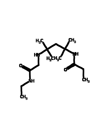 CCNC(=O)CNC(C)(C)CC(C)(C)NC(=O)CC